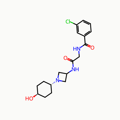 O=C(CNC(=O)c1cccc(Cl)c1)NC1CN([C@H]2CC[C@H](O)CC2)C1